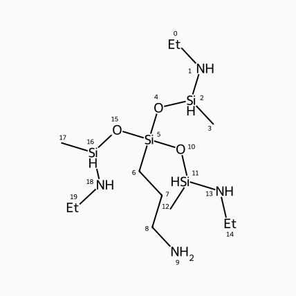 CCN[SiH](C)O[Si](CCCN)(O[SiH](C)NCC)O[SiH](C)NCC